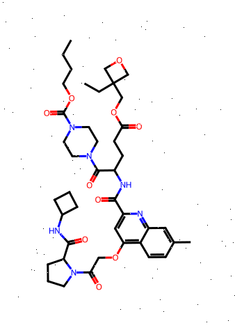 CCCCOC(=O)N1CCN(C(=O)C(CCC(=O)OCC2(CC)COC2)NC(=O)c2cc(OCC(=O)N3CCCC3C(=O)NC3CCC3)c3ccc(C)cc3n2)CC1